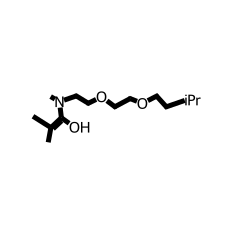 CC(C)=C(O)N(C)CCOCCOCCC(C)C